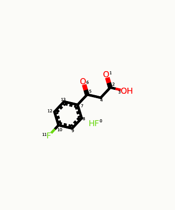 F.O=C(O)CC(=O)c1ccc(F)cc1